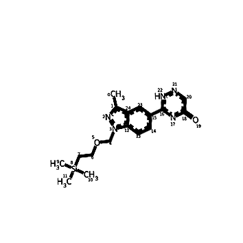 Cc1nn(COCC[Si](C)(C)C)c2ccc(-c3nc(=O)cn[nH]3)cc12